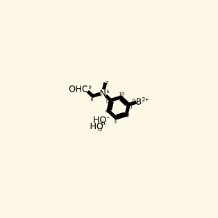 [B+2]c1cccc(N(C)CC=O)c1.[OH-].[OH-]